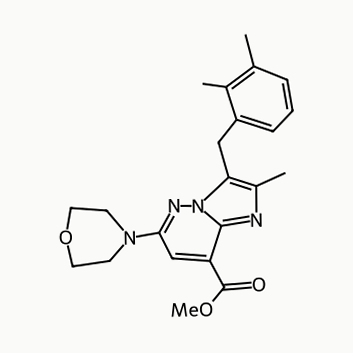 COC(=O)c1cc(N2CCOCC2)nn2c(Cc3cccc(C)c3C)c(C)nc12